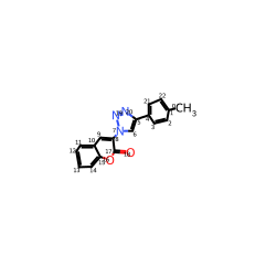 Cc1ccc(-c2cn(-c3cc4ccccc4oc3=O)nn2)cc1